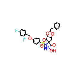 O=C(NO)C1(NS(=O)(=O)c2ccc(OCc3ccc(F)cc3F)cc2)CC2OC(Cc3ccccc3)OC2C1